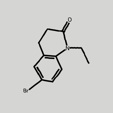 CCN1C(=O)CCc2cc(Br)ccc21